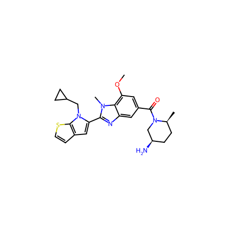 COc1cc(C(=O)N2C[C@H](N)CC[C@@H]2C)cc2nc(-c3cc4ccsc4n3CC3CC3)n(C)c12